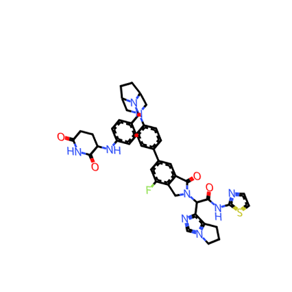 O=C1CCC(Nc2ccc(CN3C4CCC3CN(c3ccc(-c5cc(F)c6c(c5)C(=O)N(C(C(=O)Nc5nccs5)c5ncn7c5CCC7)C6)cc3)C4)cc2)C(=O)N1